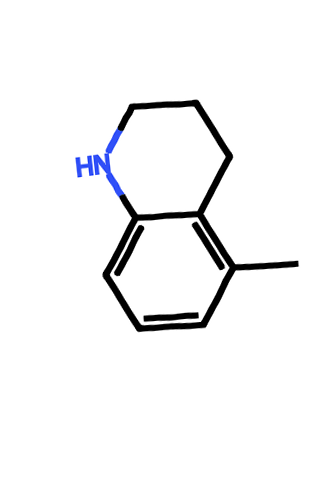 Cc1cccc2c1CCCN2